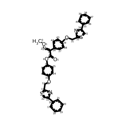 CON=C(C(=O)Oc1ccc(OCc2nc(-c3ccccc3)cs2)cc1)c1ccc(OCc2nc(-c3ccccc3)cs2)cc1